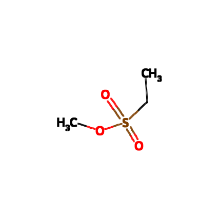 CCS(=O)(=O)OC